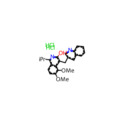 COc1ccc2c(C(C)C)nc(O)c(Cc3cnc4ccccc4c3)c2c1OC.Cl.Cl